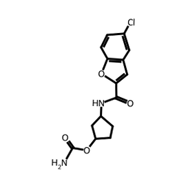 NC(=O)OC1CCC(NC(=O)c2cc3cc(Cl)ccc3o2)C1